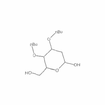 CCCCOC1CC(O)OC(CO)C1OCCCC